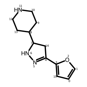 c1coc(C2=NNC(C3CCNCC3)C2)c1